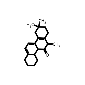 C=C1C(=O)C2C(=CC=C3CCCCC32)C2=C1CCC(C)(C)C2